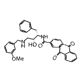 COc1cccc(CNC[C@@H](O)[C@H](Cc2ccccc2)NC(=O)c2ccc3c(c2)C(=O)c2ccccc2C3=O)c1